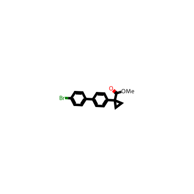 COC(=O)C1(c2ccc(-c3ccc(Br)cc3)cc2)CC1